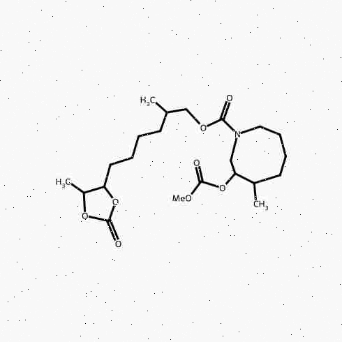 COC(=O)OC1CN(C(=O)OCC(C)CCCCC2OC(=O)OC2C)CCCCC1C